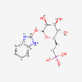 O=P(O)(O)CC[C@H]1OC(Oc2nc3ccccc3[nH]2)[C@@H](O)[C@@H](O)[C@@H]1O